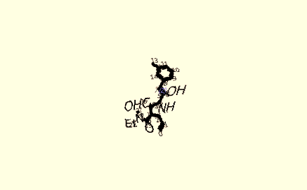 C=CC1NC(/C(O)=C/c2cccc(C)c2)C(C=O)C1C(=O)N(C)CC